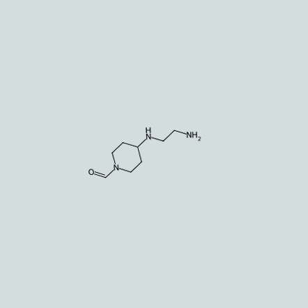 NCCNC1CCN(C=O)CC1